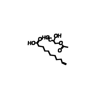 C=CCCCCCCCCC(=O)O.CC(=O)OCC(O)CO